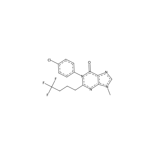 Cn1cnc2c(=O)n(-c3ccc(Cl)cc3)c(CCCC(F)(F)F)nc21